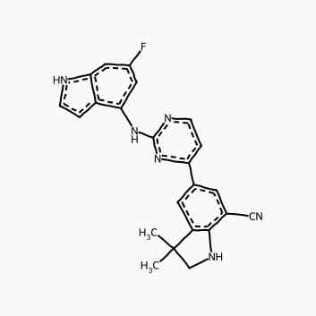 CC1(C)CNc2c(C#N)cc(-c3ccnc(Nc4cc(F)cc5[nH]ccc45)n3)cc21